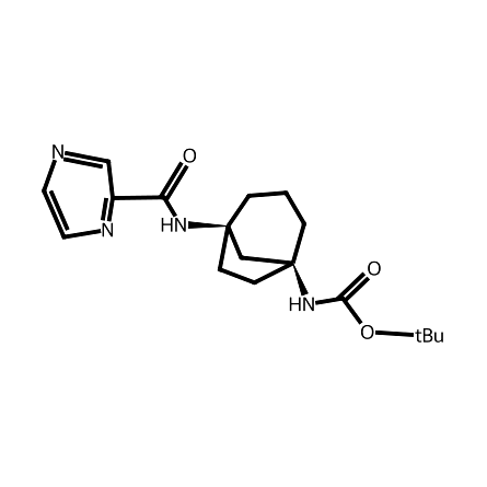 CC(C)(C)OC(=O)N[C@@]12CCC[C@@](NC(=O)c3cnccn3)(CC1)C2